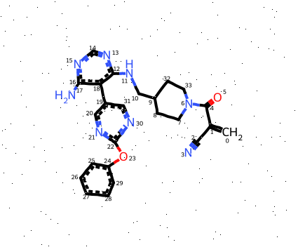 C=C(C#N)C(=O)N1CCC(CNc2ncnc(N)c2-c2cnc(Oc3ccccc3)nc2)CC1